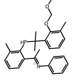 COCOc1c(C)cccc1C(C)(C)Pc1c(C)cccc1/C(C)=N/c1ccccc1